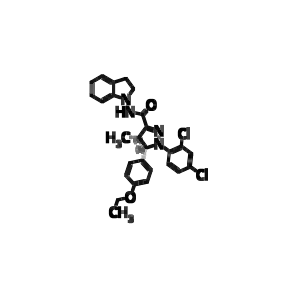 CCOc1ccc([C@@H]2[C@H](C)C(C(=O)NN3CCc4ccccc43)=NN2c2ccc(Cl)cc2Cl)cc1